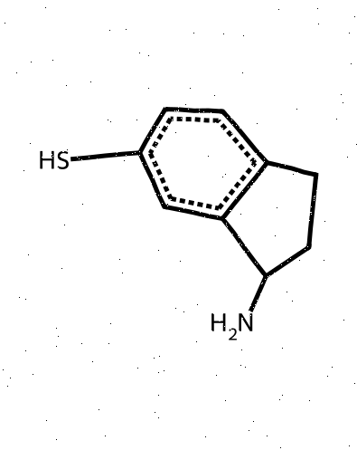 NC1CCc2ccc(S)cc21